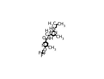 Cc1cc(C(C)NC(=O)c2cnc(OCC(F)(F)F)c(C)c2)nc(NCC(C)C)n1